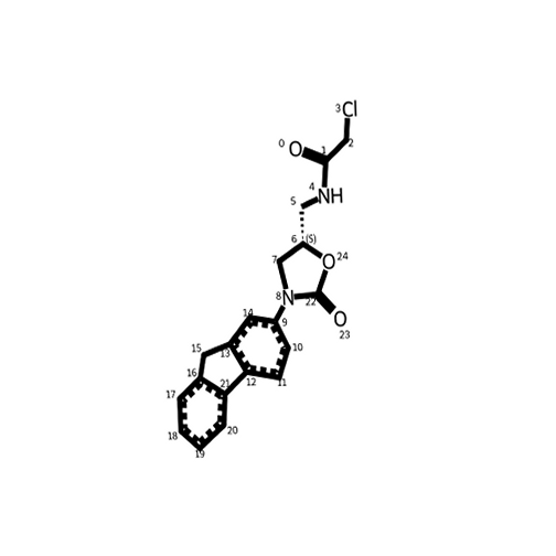 O=C(CCl)NC[C@H]1CN(c2ccc3c(c2)Cc2ccccc2-3)C(=O)O1